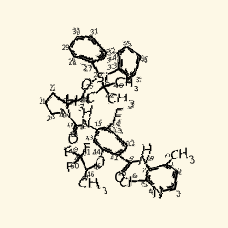 Cc1ccnc(Cl)c1NC(=O)c1cc(F)c(NC(=O)N2CCCC2CO[Si](c2ccccc2)(c2ccccc2)C(C)(C)C)cc1OC(C)C(F)(F)F